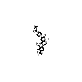 Cc1c([C@@H](C)Nc2ncnc3[nH]c(=O)c(N4CCN(C(=O)OC(C)(C)C)CC4)cc23)cccc1C(F)(F)F